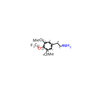 COc1cc(CCN)cc(OC)c1OC(F)(F)F